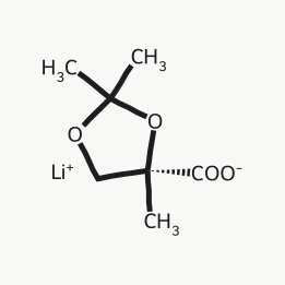 CC1(C)OC[C@@](C)(C(=O)[O-])O1.[Li+]